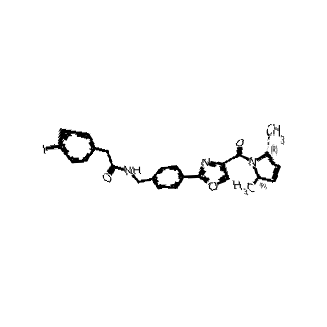 C[C@@H]1C=C[C@@H](C)N1C(=O)c1coc(-c2ccc(CNC(=O)Cc3ccc(I)cc3)cc2)n1